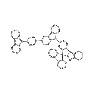 c1ccc2c(c1)-c1ccccc1C21c2cc(-n3c4ccccc4c4cc(-c5ccc(-n6c7ccccc7c7ccccc76)cc5)ccc43)ccc2-n2c1nc1ccccc12